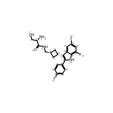 N[C@H](CO)C(=O)NC[C@H]1C[C@H](c2c(-c3ccc(F)cc3)[nH]c3c(F)cc(F)cc32)C1